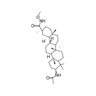 CONC(=O)[C@@]1(C)CC[C@]2(C)CC[C@]3(C)[C@H](CC[C@@H]4[C@@]5(C)CC[C@H](NC(C)=O)C(C)(C)C5CC[C@]43C)[C@H]2C1